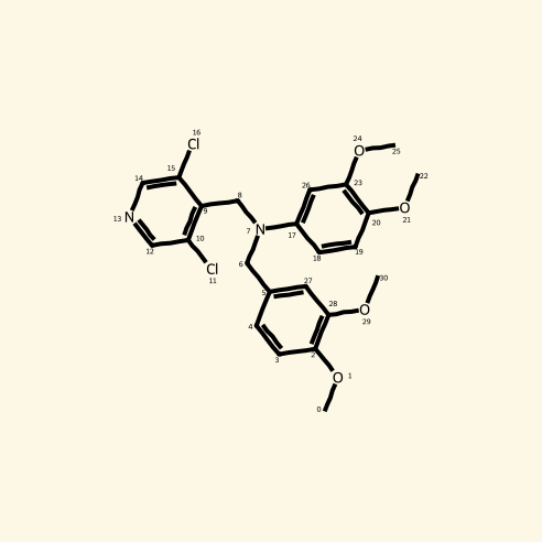 COc1ccc(CN(Cc2c(Cl)cncc2Cl)c2ccc(OC)c(OC)c2)cc1OC